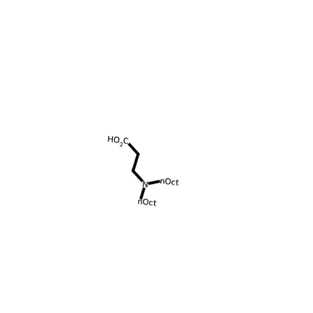 CCCCCCCCN(CCCCCCCC)CCC(=O)O